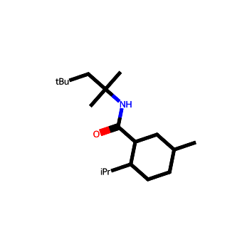 CC1CCC(C(C)C)C(C(=O)NC(C)(C)CC(C)(C)C)C1